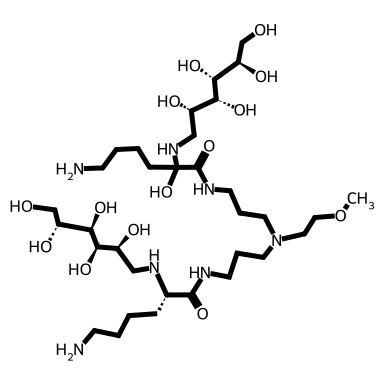 COCCN(CCCNC(=O)[C@H](CCCCN)NC[C@H](O)[C@@H](O)[C@H](O)[C@H](O)CO)CCCNC(=O)C(O)(CCCCN)NC[C@H](O)[C@@H](O)[C@H](O)[C@H](O)CO